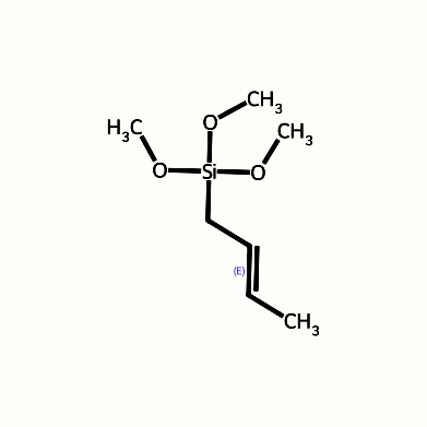 C/C=C/C[Si](OC)(OC)OC